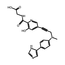 CN(CC#Cc1cnc(C(=O)NCC(=O)O)c(O)c1)c1ccc(-c2cnc[nH]2)cc1